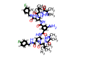 CN[C@@H](C)C(=O)N[C@H](C(=O)N1C[C@@H](NC(=O)c2cc(N)cc(C(=O)N[C@H]3C[C@@H](C(=O)NCc4ccc(F)cc4)N(C(=O)[C@@H](NC(=O)[C@H](C)NC)C(C)(C)C)C3)c2)C[C@H]1C(=O)NCc1ccc(F)cc1)C(C)(C)C